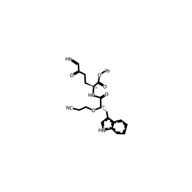 CC(C)OC(=O)[C@H](CCC(=O)C=N)NC(=O)[C@H](Cc1c[nH]c2ccccc12)OCCC#N